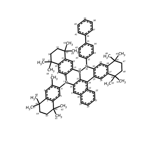 Cc1cc2c(cc1N1c3cc4c(cc3B3c5c1cc1ccccc1c5-c1cc5c(cc1N3c1ccc(-c3ccccc3)cc1)C(C)(C)CCC5(C)C)C(C)(C)CCC4(C)C)C(C)(C)CCC2(C)C